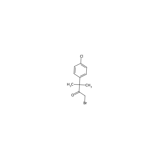 CC(C)(C(=O)CBr)c1ccc(Cl)cc1